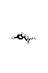 NS(=O)(=O)CC(=O)c1ccc(Cl)cc1Cl